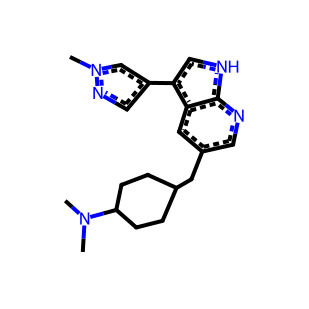 CN(C)C1CCC(Cc2cnc3[nH]cc(-c4cnn(C)c4)c3c2)CC1